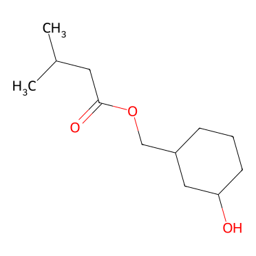 CC(C)CC(=O)OCC1CCCC(O)C1